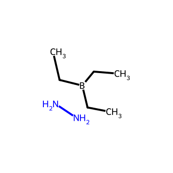 CCB(CC)CC.NN